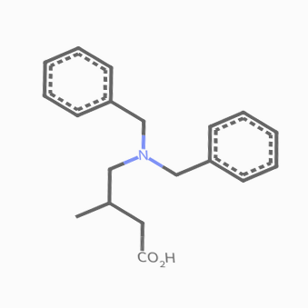 CC(CC(=O)O)CN(Cc1ccccc1)Cc1ccccc1